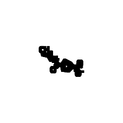 CCCC[N]C(=O)c1ccc([N+](=O)[O-])cc1